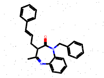 CC1=Nc2ccccc2N(Cc2ccccc2)C(=O)C1C/C=C/c1ccccc1